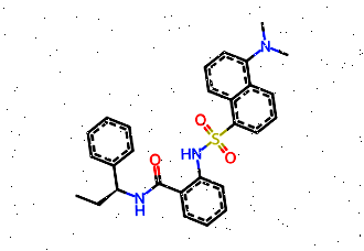 CC[C@H](NC(=O)c1ccccc1NS(=O)(=O)c1cccc2c(N(C)C)cccc12)c1ccccc1